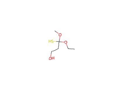 CCOC(S)(CCO)OC